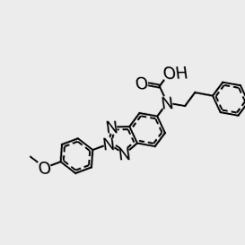 COc1ccc(-n2nc3ccc(N(CCc4ccccc4)C(=O)O)cc3n2)cc1